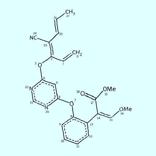 C=C/C(Oc1cc(Oc2ccccc2/C(=C/OC)C(=O)OC)ncn1)=C(C#N)\C=C\C